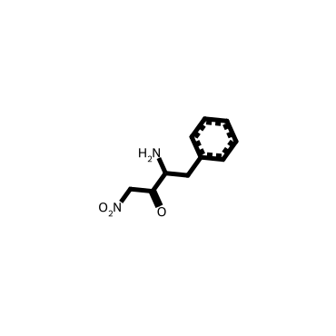 NC(Cc1ccccc1)C(=O)C[N+](=O)[O-]